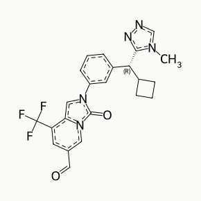 Cn1cnnc1[C@@H](c1cccc(-n2cc3c(C(F)(F)F)cc(C=O)cn3c2=O)c1)C1CCC1